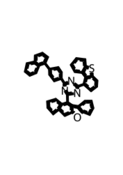 c1ccc2c(-c3ccc(-c4nc(-c5c6ccccc6cc6oc7ccccc7c56)nc(-c5cccc6sc7ccccc7c56)n4)cc3)cccc2c1